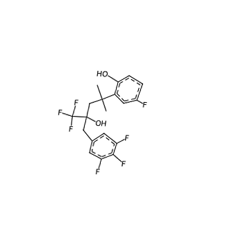 CC(C)(CC(O)(Cc1cc(F)c(F)c(F)c1)C(F)(F)F)c1cc(F)ccc1O